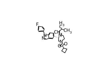 Cc1cc2c(cnn2-c2ccc(F)cc2)cc1[C@H]1CN(S(=O)(=O)C2CCC2)CCN1CC(C)C